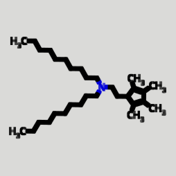 CCCCCCCCCCN(CCCCCCCCCC)CCC1C(C)=C(C)C(C)=C1C